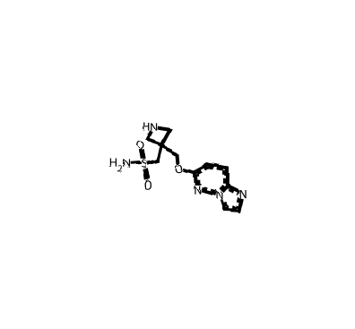 NS(=O)(=O)CC1(COc2ccc3nccn3n2)CNC1